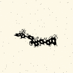 CC1(C)c2ccccc2-c2ccc(-c3ccc4c(=O)c5c(ccc6c(=O)c7cc(-c8ccc9c(c8)C(C)(C)c8ccccc8-9)ccc7oc65)oc4c3)cc21